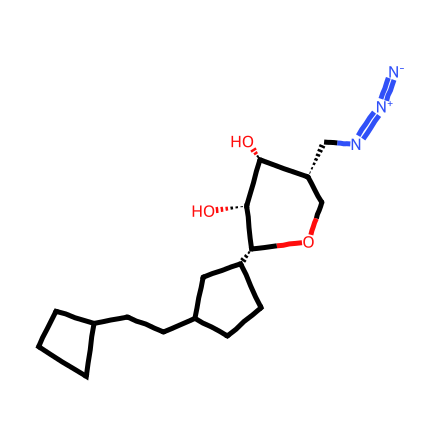 [N-]=[N+]=NC[C@@H]1CO[C@H](C2CCC(CCC3CCC3)C2)[C@H](O)[C@@H]1O